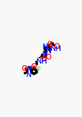 Cc1nc2ccc(F)c(OCCNC[C@H]3CN(c4cnc5c(n4)NC(=O)CO5)C(=O)O3)c2n(C)c1=O